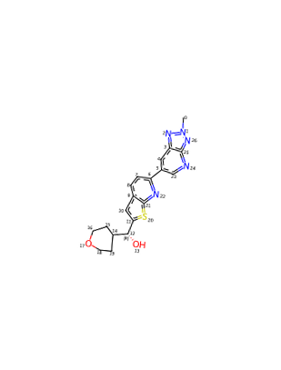 Cn1nc2cc(-c3ccc4cc([C@H](O)C5CCOCC5)sc4n3)cnc2n1